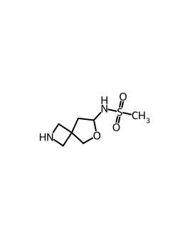 CS(=O)(=O)NC1CC2(CNC2)CO1